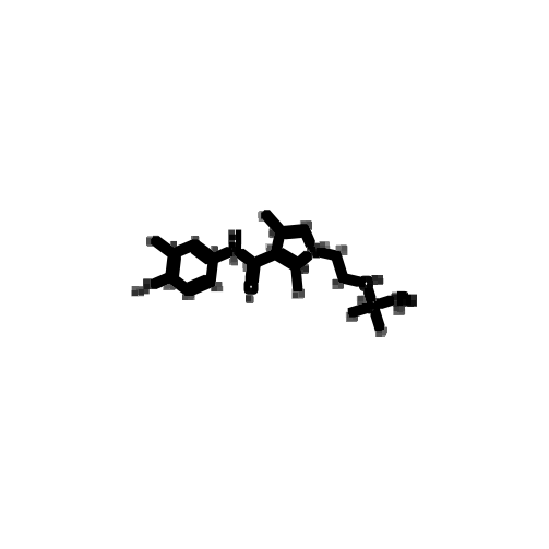 Cc1cc(NC(=O)c2c(C)cn(CCO[Si](C)(C)C(C)(C)C)c2C)ccc1F